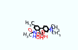 CC(=O)Nc1cc(C)cc(-c2ccc(N(C)C)cc2)c1[As](=O)(O)OO